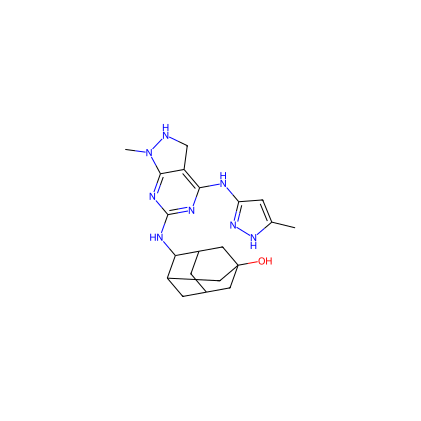 Cc1cc(Nc2nc(NC3C4CC5CC3CC(O)(C5)C4)nc3c2CNN3C)n[nH]1